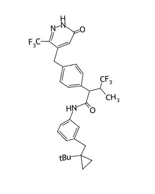 CC(C(C(=O)Nc1cccc(CC2(C(C)(C)C)CC2)c1)c1ccc(Cc2cc(=O)[nH]nc2C(F)(F)F)cc1)C(F)(F)F